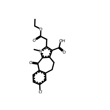 CCOC(=O)Cc1c(C(=O)O)c2c(n1C)C(=O)c1ccc(Cl)cc1CC2